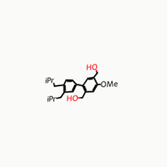 COc1cc(CO)c(-c2ccc(CC(C)C)c(CC(C)C)c2)cc1CO